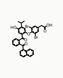 CC(C)c1cc(Oc2c(Br)cc(CC(=O)O)cc2Br)c(C(=O)c2ccccc2C(=O)c2cccc3ccccc23)cc1O